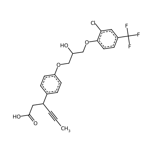 CC#CC(CC(=O)O)c1ccc(OCC(O)COc2ccc(C(F)(F)F)cc2Cl)cc1